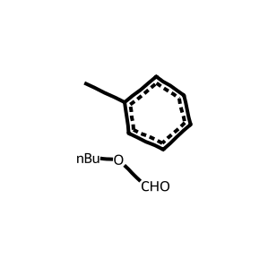 CCCCOC=O.Cc1ccccc1